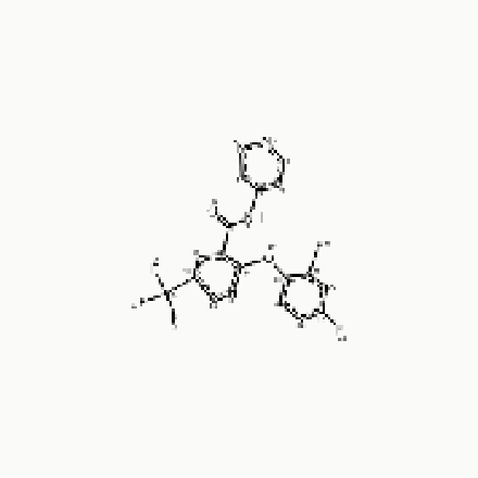 O=C(Nc1ccnnc1)c1cc(C(F)(F)F)cnc1Oc1ccc(F)cc1F